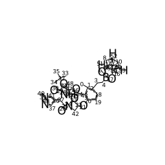 Cc1c(CCB2O[C@@H]3C[C@@H]4C[C@@H](C4(C)C)[C@]3(C)O2)ccc(OC2CN(C(=O)C(NC(=O)OC(C)(C)C)c3cnn(C)c3)C2)c1C(=O)OC(C)(C)C